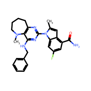 Cc1cc2c(C(N)=O)cc(F)cc2n1-c1nc2c(c(NCc3ccccc3)n1)N(C)CCCC2